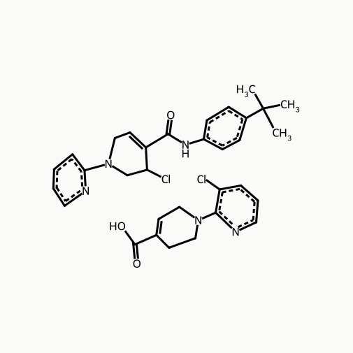 CC(C)(C)c1ccc(NC(=O)C2=CCN(c3ccccn3)CC2Cl)cc1.O=C(O)C1=CCN(c2ncccc2Cl)CC1